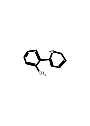 Cc1ccccc1C1=CC=CCN1